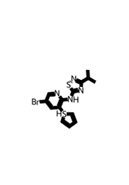 CC(C)c1nsc(Nc2ncc(Br)cc2[SH]2C=CC=C2)n1